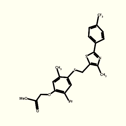 COC(=O)COc1cc(C)c(SCc2sc(-c3ccc(C(F)(F)F)cc3)nc2C)cc1C(C)C